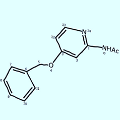 CC(=O)Nc1cc(OCc2ccccc2)ccn1